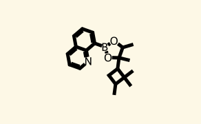 CC1CC(C2(C)OB(c3cccc4cccnc34)OC2C)C1(C)C